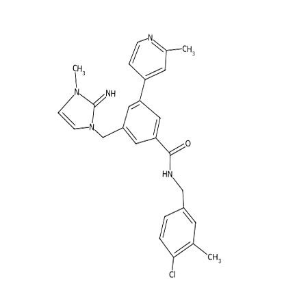 Cc1cc(-c2cc(Cn3ccn(C)c3=N)cc(C(=O)NCc3ccc(Cl)c(C)c3)c2)ccn1